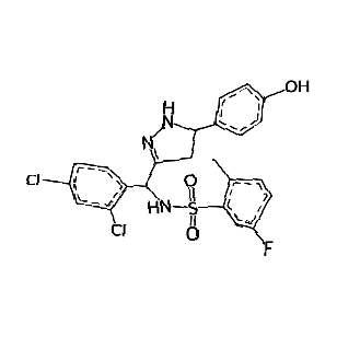 Cc1ccc(F)cc1S(=O)(=O)NC(C1=NNC(c2ccc(O)cc2)C1)c1ccc(Cl)cc1Cl